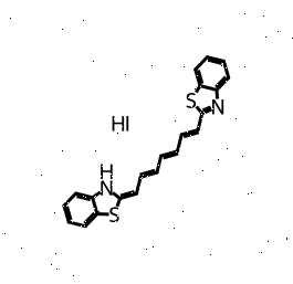 C(=CC=Cc1nc2ccccc2s1)C=CC=C1Nc2ccccc2S1.I